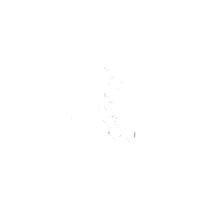 CN(C(=O)CC(C)(C)C)c1ccc2c(c1)nc(NC(=O)Nc1ccc(F)c(C#N)c1F)n2CCC(C)(C)O